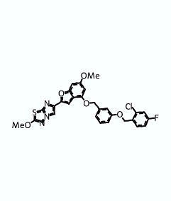 COc1cc(OCc2cccc(OCc3ccc(F)cc3Cl)c2)c2cc(-c3cn4nc(OC)sc4n3)oc2c1